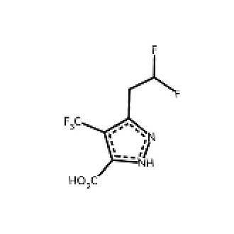 O=C(O)c1[nH]nc(CC(F)F)c1C(F)(F)F